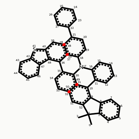 CC1(C)c2ccccc2-c2c(-c3ccccc3N(c3ccc(-c4ccccc4)cc3)c3ccccc3-c3cccc4sc5ccccc5c34)cccc21